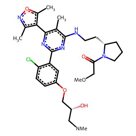 CNC[C@@H](O)COc1ccc(Cl)c(-c2nc(NCC[C@@H]3CCCN3C(=O)COC)c(C)c(-c3c(C)noc3C)n2)c1